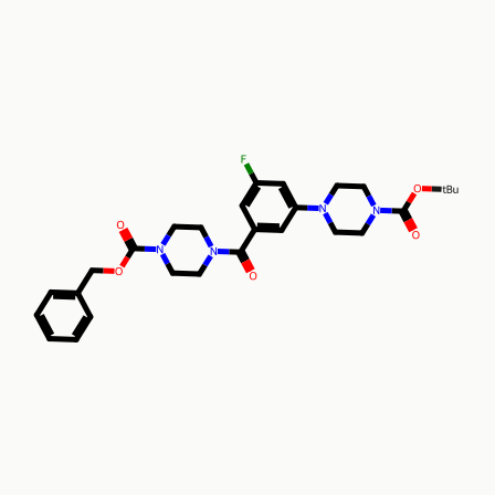 CC(C)(C)OC(=O)N1CCN(c2cc(F)cc(C(=O)N3CCN(C(=O)OCc4ccccc4)CC3)c2)CC1